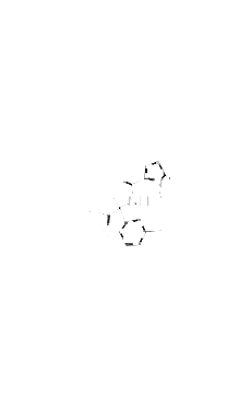 Cn1nccc1C(=O)NC(C)(C(=O)O)c1cccc(Cl)c1